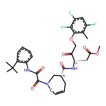 COC(=O)C[C@H](NC(=O)[C@@H]1CC=CCN(C(=O)C(=O)Nc2ccccc2C(C)(C)C)C1)C(=O)COc1c(C)c(F)cc(F)c1F